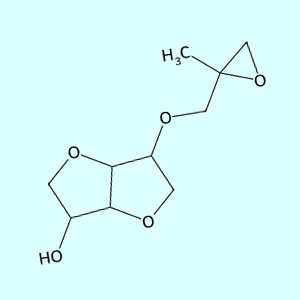 CC1(COC2COC3C(O)COC23)CO1